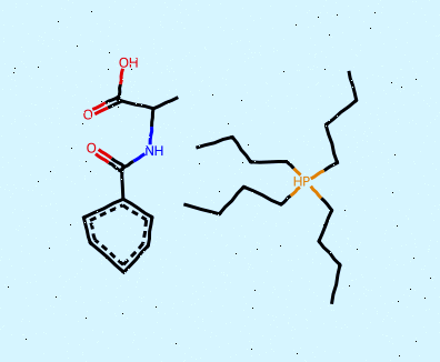 CC(NC(=O)c1ccccc1)C(=O)O.CCCC[PH](CCCC)(CCCC)CCCC